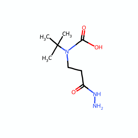 CC(C)(C)N(CCC(=O)NN)C(=O)O